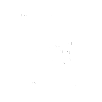 CCCCCCCCCCCCOC(=O)c1ccc(Cl)c(NC(=O)C(Sc2nnnn2-c2cccc(C(=O)O)c2)C(=O)c2ccc(OC)cc2)c1